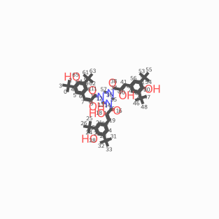 CC(C)(C)c1cc(C=C(O)C(=O)N2CN(C(=O)C(O)=Cc3cc(C(C)(C)C)c(O)c(C(C)(C)C)c3)CN(C(=O)C(O)=Cc3cc(C(C)(C)C)c(O)c(C(C)(C)C)c3)C2)cc(C(C)(C)C)c1O